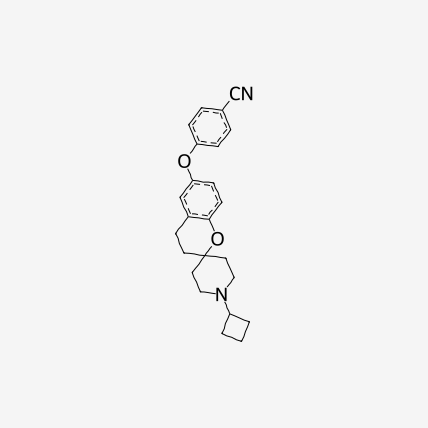 N#Cc1ccc(Oc2ccc3c(c2)CCC2(CCN(C4CCC4)CC2)O3)cc1